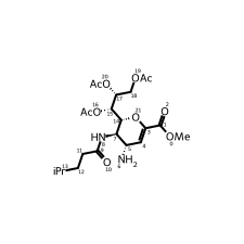 COC(=O)C1=C[C@H](N)[C@@H](NC(=O)CCC(C)C)[C@H]([C@H](OC(C)=O)[C@@H](COC(C)=O)OC(C)=O)O1